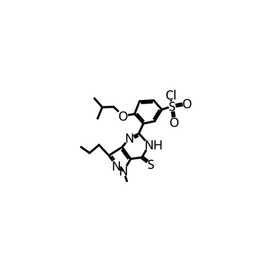 CCCc1nn(C)c2c(=S)[nH]c(-c3cc(S(=O)(=O)Cl)ccc3OCC(C)C)nc12